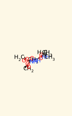 C=CC(=O)OCC(C)(COC(=O)C=C)NC(=O)NCCCOC(=O)NC(C)(CC)CC